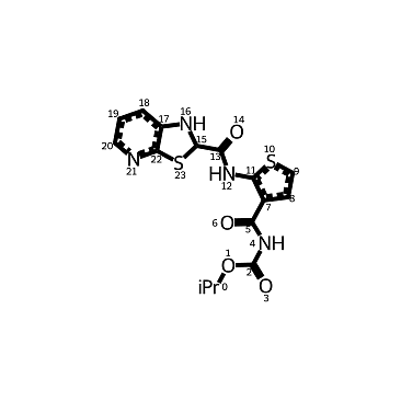 CC(C)OC(=O)NC(=O)c1ccsc1NC(=O)C1Nc2cccnc2S1